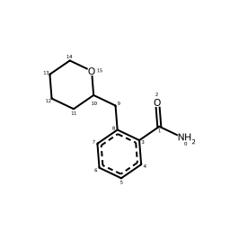 NC(=O)c1ccccc1CC1CCCCO1